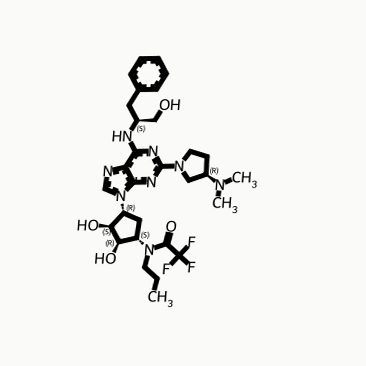 CCCN(C(=O)C(F)(F)F)[C@H]1C[C@@H](n2cnc3c(N[C@H](CO)Cc4ccccc4)nc(N4CC[C@@H](N(C)C)C4)nc32)[C@H](O)[C@@H]1O